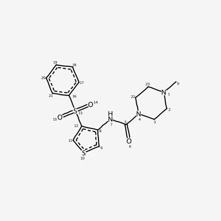 CN1CCN(C(=O)Nc2cscc2S(=O)(=O)c2ccccc2)CC1